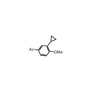 COc1ccc(C(C)=O)cc1C1CC1